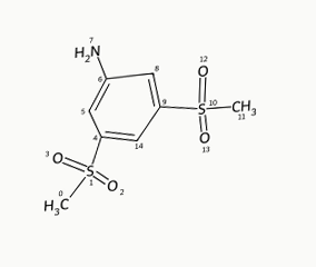 CS(=O)(=O)c1cc(N)cc(S(C)(=O)=O)c1